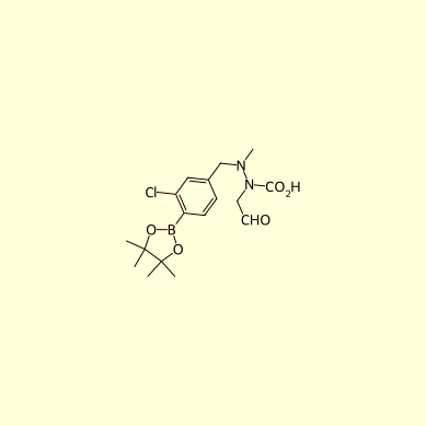 CN(Cc1ccc(B2OC(C)(C)C(C)(C)O2)c(Cl)c1)N(CC=O)C(=O)O